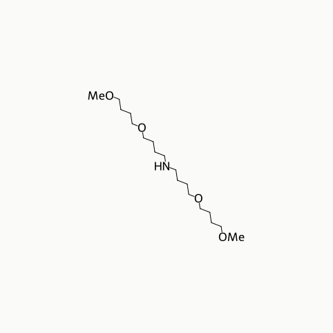 COCCCCOCCCCNCCCCOCCCCOC